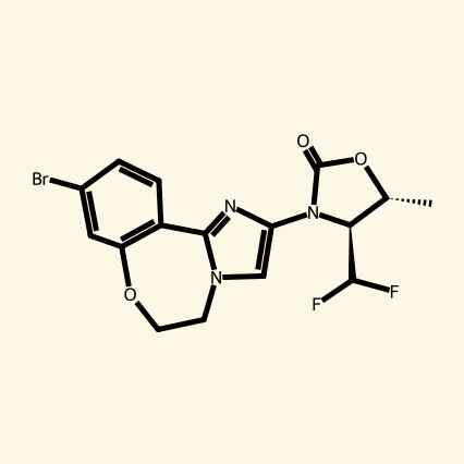 C[C@H]1OC(=O)N(c2cn3c(n2)-c2ccc(Br)cc2OCC3)[C@@H]1C(F)F